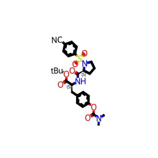 CN(C)C(=O)Oc1ccc(C[C@H](NC(=O)[C@@H]2CCCN2S(=O)(=O)c2ccc(C#N)cc2)C(=O)OC(C)(C)C)cc1